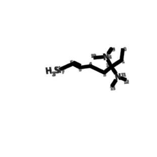 CCC(CC/C=C/[SiH3])(N(C)C)N(C)C